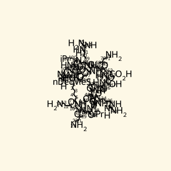 CCCCCCCCCCCCCCCC(=O)N[C@@H](CCCCN)C(=O)N[C@@H](CCCCN)C(=O)N[C@@H](CC(C)C)C(=O)N[C@H](CCCNC(=N)N)C(=O)N[C@@H](CO)C(=O)N[C@@H](CCSC)C(=O)N[C@H](C(=O)N[C@@H](CC(=O)O)C(=O)N[C@@H](CCCCN)C(=O)N[C@@H](Cc1ccc(O)cc1)C(=O)N[C@@H](CCCNC(=N)N)C(=O)N[C@@H](CC(C)C)C(=O)N[C@@H](Cc1c[nH]cn1)C(N)=O)[C@@H](C)O